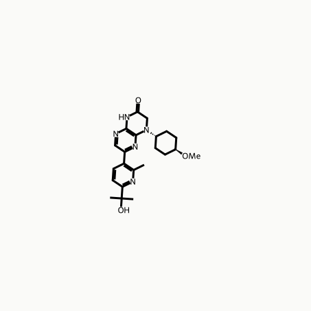 CO[C@H]1CC[C@H](N2CC(=O)Nc3ncc(-c4ccc(C(C)(C)O)nc4C)nc32)CC1